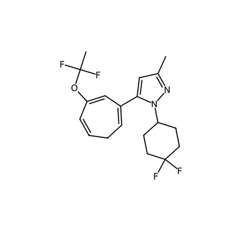 Cc1cc(C2=CCC=CC(OC(C)(F)F)=C2)n(C2CCC(F)(F)CC2)n1